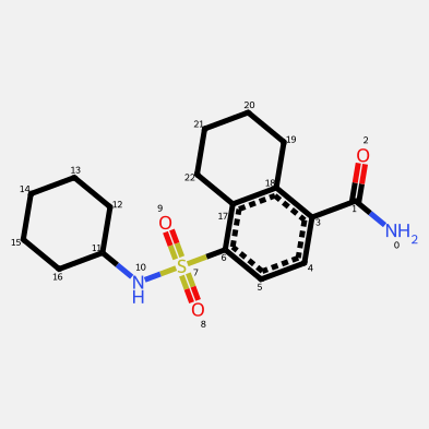 NC(=O)c1ccc(S(=O)(=O)NC2CCCCC2)c2c1CCCC2